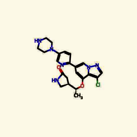 C[C@@H](Oc1cc(-c2ccc(N3CCNCC3)cn2)cn2ncc(Cl)c12)[C@H]1CNC(=O)C1